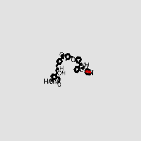 O=C(N[C@@H](c1ccccc1)c1cccc(OCC2CCN(C(=O)c3ccc(CNCC(O)c4ccc(O)c5[nH]c(=O)ccc45)cc3)CC2)c1)OC1CN2CCC1CC2